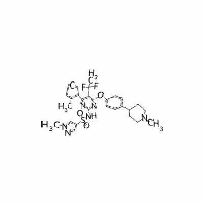 Cc1ccccc1-c1nc(NS(=O)(=O)c2cnn(C)c2)nc(Oc2ccc(C3CCN(C)CC3)cc2)c1C(C)(F)F